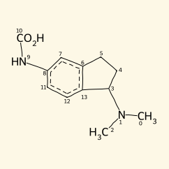 CN(C)C1CCc2cc(NC(=O)O)ccc21